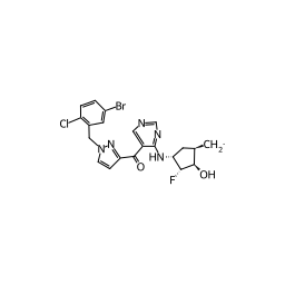 [CH2][C@@H]1C[C@@H](Nc2ncncc2C(=O)c2ccn(Cc3cc(Br)ccc3Cl)n2)[C@@H](F)[C@@H]1O